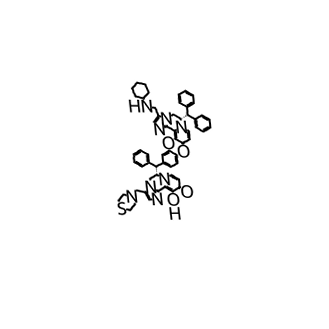 O=c1ccn2c(c1O)-c1ncc(CN3CCSCC3)n1C[C@@H]2C(c1ccccc1)c1cccc(Oc2c3n(ccc2=O)[C@@H](C(c2ccccc2)c2ccccc2)Cn2c(CNC4CCCCC4)cnc2-3)c1